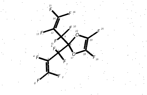 FC(F)=C(F)C(F)(F)C1(C(F)(F)C(F)=C(F)F)OC(F)=C(F)O1